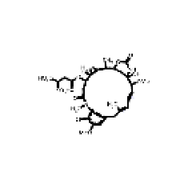 COc1cc2cc(c1Cl)N(C)C(=O)CC(OC(=O)CC(C(=O)O)S(=O)(=O)O)C1(C)OC1C(C)C1CC(O)(NC(=O)O1)C(OC)/C=C/C=C(\C)C2